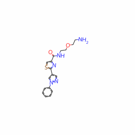 NCCOCCNC(=O)c1csc(-c2cnn(-c3ccccc3)c2)n1